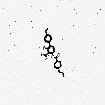 CCCC1CCC(C(=O)Oc2ccc(-c3ccc(CC)cc3)c(F)c2C(F)F)CC1